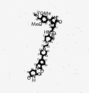 COc1cc(-c2cn(C)c(=O)c3cc(C(=O)NC4CCN(CCN5CCC(c6ccc7c(c6)CN(C6CCC(=O)NC6=O)C7=O)CC5)CC4(F)F)sc23)cc(OC)c1CN(C)C